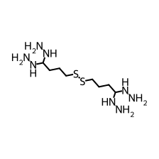 NNC(CCCSSCCCC(NN)NN)NN